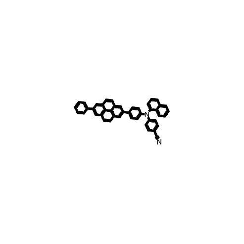 N#Cc1ccc(N(c2ccc(-c3cc4ccc5cc(-c6ccccc6)cc6ccc(c3)c4c56)cc2)c2cccc3ccccc23)cc1